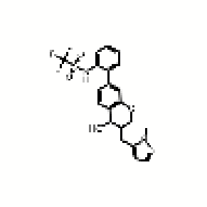 Cn1nccc1CC1COc2cc(-c3ccccc3NS(=O)(=O)C(F)(F)F)ccc2C1O